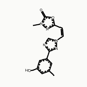 Cc1cc(O)cc(-c2ncn(/C=C\c3nn(C)c(=O)o3)n2)c1